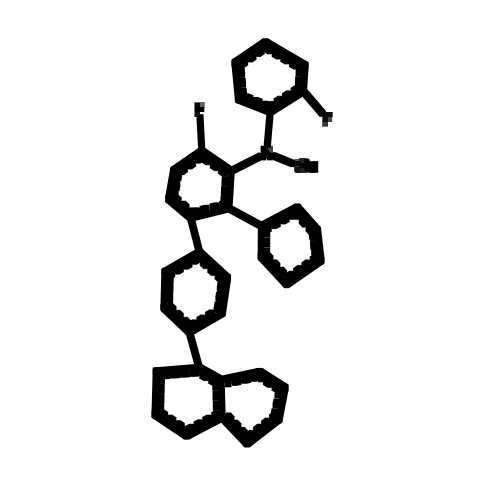 CC(C)(C)N(c1ccccc1F)c1c(F)ccc(-c2ccc(-c3cccc4ccccc34)cc2)c1-c1ccccc1